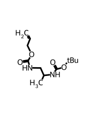 C=CCOC(=O)NCC(C)NC(=O)OC(C)(C)C